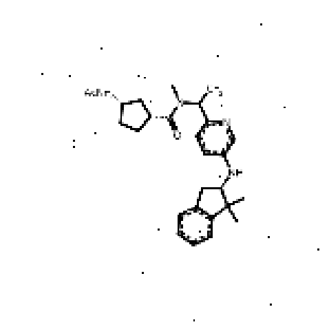 CC(=O)N[C@H]1CC[C@@H](C(=O)N(C)C(c2ccc(N[C@@H]3Cc4ccccc4C3(C)C)cn2)C(F)(F)F)C1